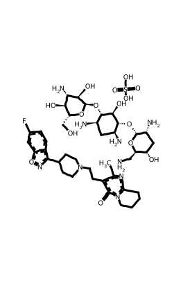 Cc1nc2n(c(=O)c1CCN1CCC(c3noc4cc(F)ccc34)CC1)CCCC2.NC[C@H]1O[C@H](O[C@H]2[C@H](O)[C@@H](O[C@H]3O[C@H](CO)[C@@H](O)[C@H](N)[C@H]3O)[C@H](N)C[C@@H]2N)[C@H](N)C[C@@H]1O.O=S(=O)(O)O